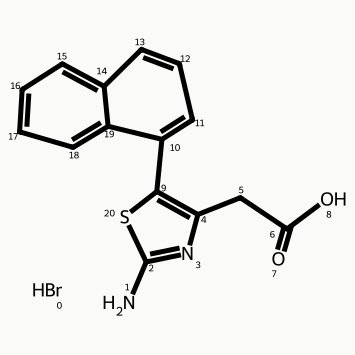 Br.Nc1nc(CC(=O)O)c(-c2cccc3ccccc23)s1